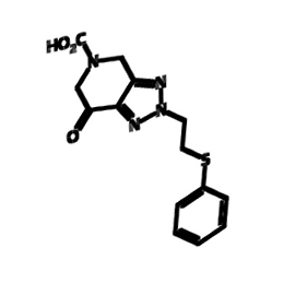 O=C1CN(C(=O)O)Cc2nn(CCSc3ccccc3)nc21